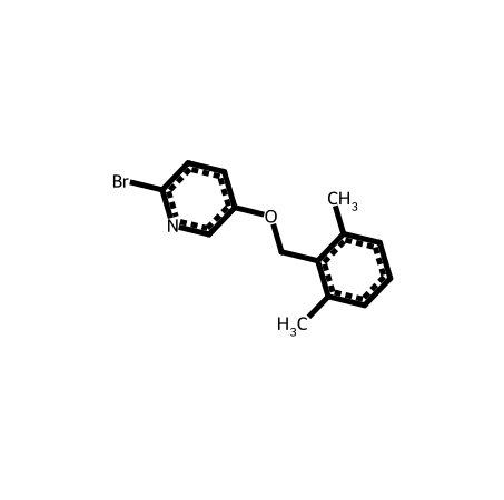 Cc1cccc(C)c1COc1ccc(Br)nc1